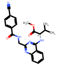 COC(=O)[C@@H](Nc1nc(CNC(=O)c2ccc(C#N)cc2)nc2ccccc12)C(C)C